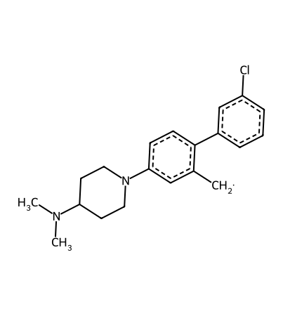 [CH2]c1cc(N2CCC(N(C)C)CC2)ccc1-c1cccc(Cl)c1